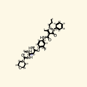 CCCn1c(C)c(C(=O)Nc2ccc(OC(=N)/C=C(\NC)NC(=O)N3CCOCC3)c(F)c2)c(=O)n1-c1ccccc1